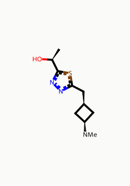 CN[C@H]1C[C@@H](Cc2nnc([C@H](C)O)s2)C1